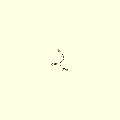 COC(=O)[13CH2]Br